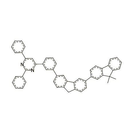 CC1(C)c2ccccc2-c2ccc(-c3ccc4c(c3)-c3cc(-c5cccc(-c6cc(-c7ccccc7)nc(-c7ccccc7)n6)c5)ccc3C4)cc21